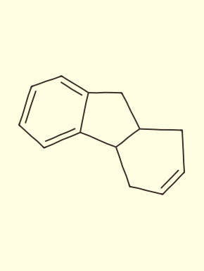 C1=CCC2c3ccccc3CC2C1